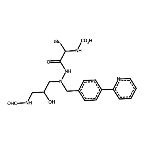 CC(C)(C)C(NC(=O)O)C(=O)NN(Cc1ccc(-c2ccccn2)cc1)CC(O)CNC=O